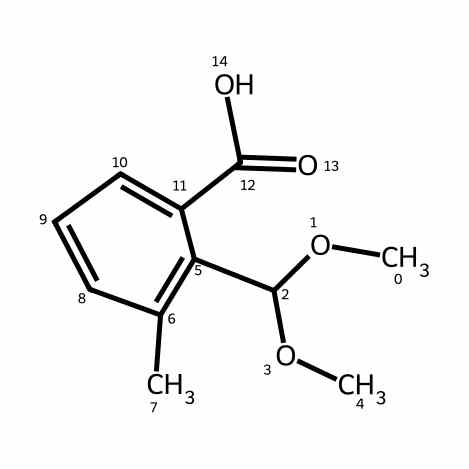 COC(OC)c1c(C)cccc1C(=O)O